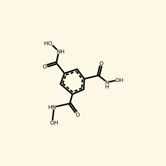 O=C(NO)c1cc(C(=O)NO)cc(C(=O)NO)c1